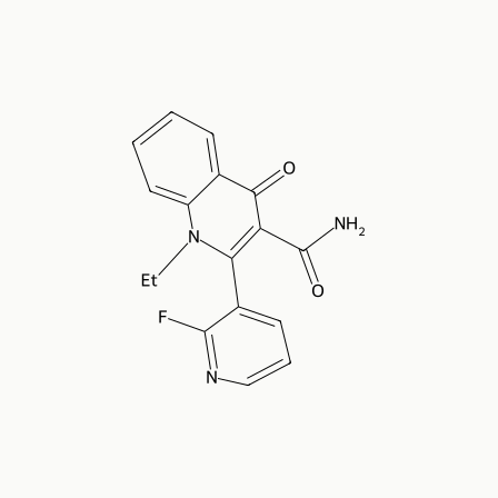 CCn1c(-c2cccnc2F)c(C(N)=O)c(=O)c2ccccc21